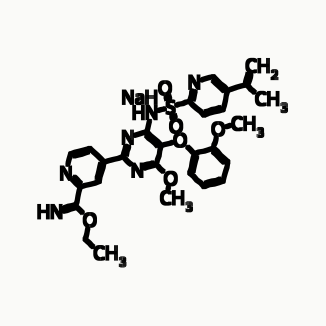 C=C(C)c1ccc(S(=O)(=O)Nc2nc(-c3ccnc(C(=N)OCC)c3)nc(OC)c2Oc2ccccc2OC)nc1.[NaH]